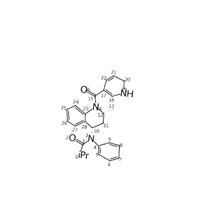 CC(C)C(=O)N(c1ccccc1)[C@H]1C[C@@H](C)N(C(=O)C2=CNCC=C2)c2ccccc21